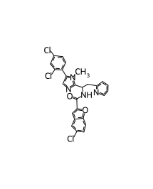 Cn1c(-c2ccc(Cl)cc2Cl)cnc1C(Cc1ccccn1)NC(=O)c1cc2cc(Cl)ccc2o1